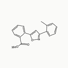 COC(=O)c1ccccc1-c1cc(-c2ccccc2C)no1